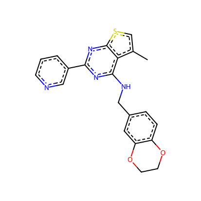 Cc1csc2nc(-c3cccnc3)nc(NCc3ccc4c(c3)OCCO4)c12